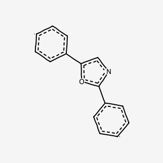 [c]1ccc(-c2cnc(-c3cc[c]cc3)o2)cc1